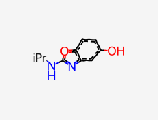 CC(C)Nc1nc2cc(O)ccc2o1